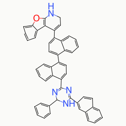 C1=C(c2ccc(-c3ccc(C4=NC(c5ccccc5)NC(c5ccc6ccccc6c5)=N4)c4ccccc34)c3ccccc23)c2c(oc3ccccc23)NC1